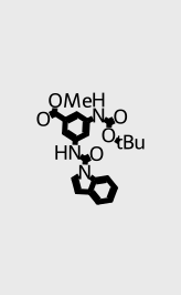 COC(=O)c1cc(NC(=O)OC(C)(C)C)cc(NC(=O)n2ccc3ccccc32)c1